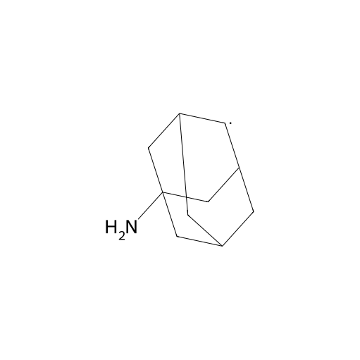 NC12CC3[CH]C(CC(C3)C1)C2